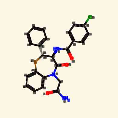 NC(=O)CN1C(=O)[C@H](NC(=O)c2ccc(Cl)cc2)[C@@H](c2ccccc2)Sc2ccccc21